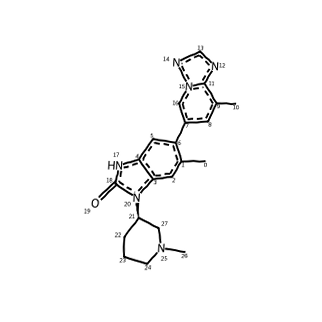 Cc1cc2c(cc1-c1cc(C)c3ncnn3c1)[nH]c(=O)n2[C@@H]1CCCN(C)C1